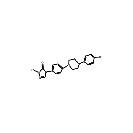 CCn1ncn(-c2ccc(N3CCN(c4ccc(Br)cc4)CC3)cc2)c1=O